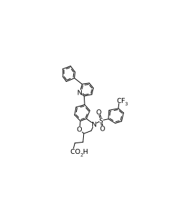 O=C(O)CCC1CN(S(=O)(=O)c2cccc(C(F)(F)F)c2)c2cc(-c3cccc(-c4ccccc4)n3)ccc2O1